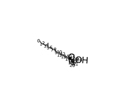 CCCCCCCCCCCCCCCCC(=O)N1CCC[C@H]1CO